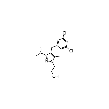 Cc1c(Cc2cc(Cl)cc(Cl)c2)c(N(C)C)nn1CCO